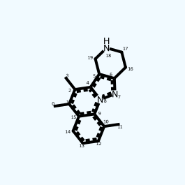 Cc1c(C)c2c3c(nn2c2c(C)cccc12)CCNC3